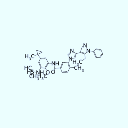 C#[SH](C)Nc1cc(C2(C)CC2)cc(NC(=O)c2ccc(C)c(-n3cnc(-c4cnn(-c5ccccc5)c4CC)c3)c2)c1OC